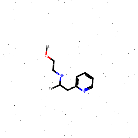 CCOCCNC(CC)Cc1ccccn1